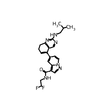 CC(C)CNc1ncc2c(n1)CCC=C2c1ccn2ncc(C(=O)NCC(F)F)c2c1